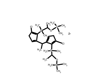 CC(C1=CCC(Cl)=C1[Si](C)(C)C(C)O[Si](C)(C)C)C1=CCC(Cl)=C1[Si](C)(C)C(C)O[Si](C)(C)C.[Zr]